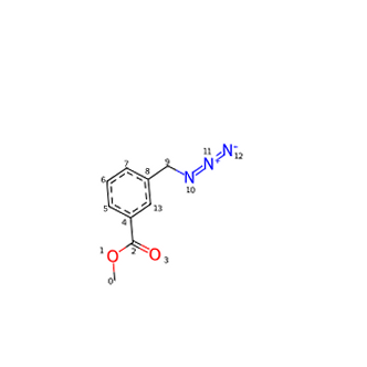 COC(=O)c1cccc(CN=[N+]=[N-])c1